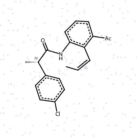 C/C=C\c1c(NC(=O)[C@@H](C)c2ccc(Cl)cc2)cccc1C(C)=O